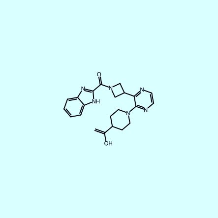 C=C(O)C1CCN(c2nccnc2C2CN(C(=O)c3nc4ccccc4[nH]3)C2)CC1